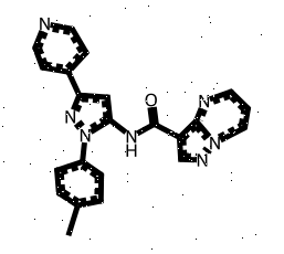 Cc1ccc(-n2nc(-c3ccncc3)cc2NC(=O)c2cnn3cccnc23)cc1